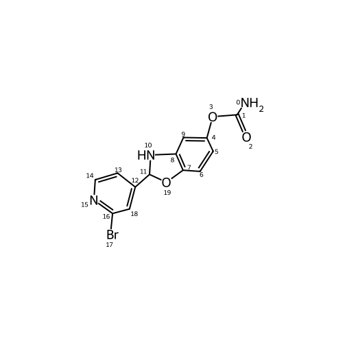 NC(=O)Oc1ccc2c(c1)NC(c1ccnc(Br)c1)O2